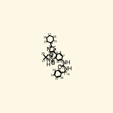 C[C@@H](NC(=O)Nc1ccc(-c2cnc(C3CCCCC3)s2)c(S(=O)(=O)NC(C)(C)C)c1)c1ccccc1